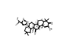 CC1(C)CC[C@]2(n3cc(C(F)F)nn3)CC[C@]3(C)[C@H](C(=O)C=C4[C@@]5(C)C=C(C#N)C(=O)C(C)(C)C5CC[C@]43C)C2C1